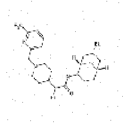 CCC(C(=O)NC1CC[C@H]2C[C@@H](CC)C[C@@H]1C2)C1CCN(Cc2cccc(C(F)(F)F)n2)CC1